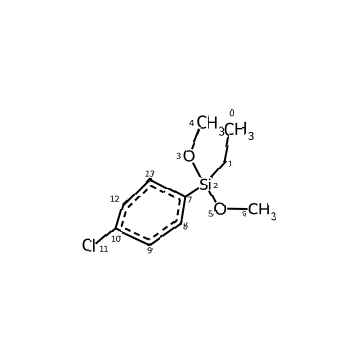 CC[Si](OC)(OC)c1ccc(Cl)cc1